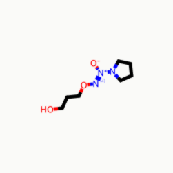 [O-]/[N+](=N\OCCCO)N1CCCC1